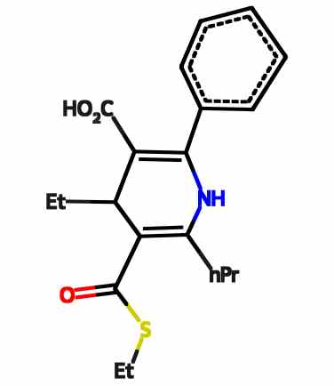 CCCC1=C(C(=O)SCC)C(CC)C(C(=O)O)=C(c2ccccc2)N1